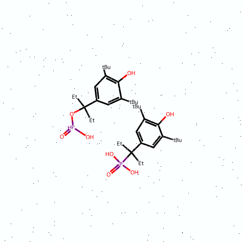 CCC(CC)(O[PH](=O)O)c1cc(C(C)(C)C)c(O)c(C(C)(C)C)c1.CCC(CC)(c1cc(C(C)(C)C)c(O)c(C(C)(C)C)c1)P(=O)(O)O